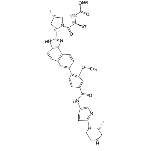 COC(=O)N[C@H](C(=O)N1C[C@@H](C)C[C@H]1c1nc2c(ccc3cc(-c4ccc(C(=O)Nc5ccc(N6CCNC[C@H]6C)nc5)cc4OC(F)(F)F)ccc32)[nH]1)C(C)C